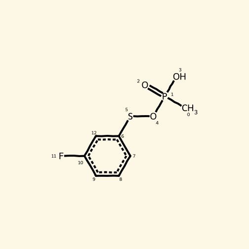 CP(=O)(O)OSc1cccc(F)c1